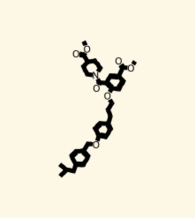 COC(=O)c1ccc(OCCCc2ccc(OCc3ccc(CC(C)C)cc3)cc2)c(C(=O)N2CCC(C(=O)OC)CC2)c1